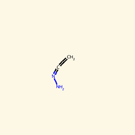 C=C=NN